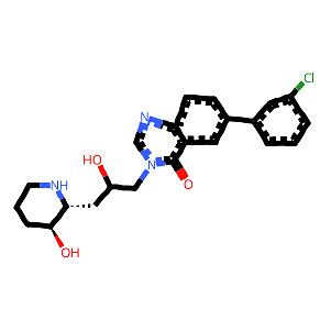 O=c1c2cc(-c3cccc(Cl)c3)ccc2ncn1CC(O)C[C@H]1NCCC[C@@H]1O